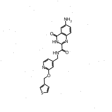 Nc1ccc2nc(C(=O)NCc3ccnc(OCc4ccsc4)c3)[nH]c(=O)c2c1